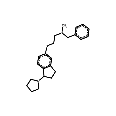 CN(CCOc1ccc2c(c1)CCC2N1CCCC1)Cc1ccccc1